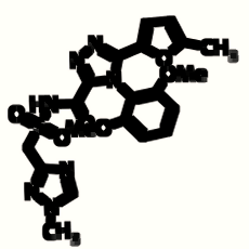 COc1cccc(OC)c1-n1c(C(=O)NS(=O)(=O)Cc2ncn(C)n2)nnc1-c1ccc(C)o1